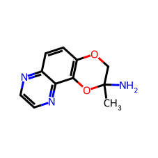 CC1(N)COc2ccc3nccnc3c2O1